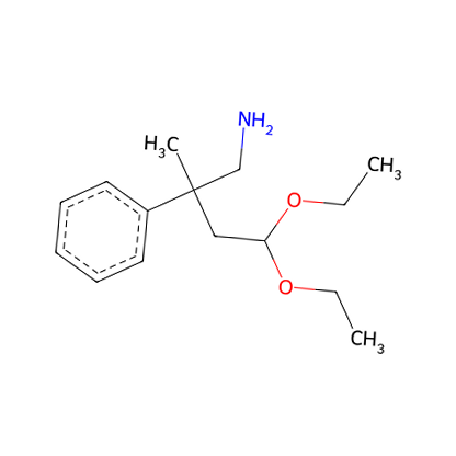 CCOC(CC(C)(CN)c1ccccc1)OCC